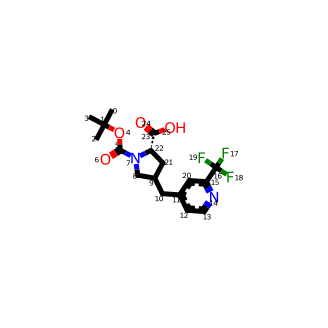 CC(C)(C)OC(=O)N1CC(Cc2ccnc(C(F)(F)F)c2)C[C@H]1C(=O)O